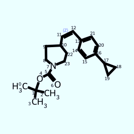 CC(C)(C)OC(=O)N1CCC(/C=C\c2ccc(C3CC3)cc2)CC1